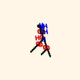 CCCCCCCCCCCOC(=O)CCCCCN(CCCCCCCC(=O)OC(CCCCCCCC)CCCCCCCC)CC(O)CCCCNC(=O)[C@H](Cc1c[nH]c2ccccc12)NC(C)=O